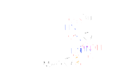 COc1ccc(S(=O)(=O)CC(NC(=O)CN(C(=O)CNC(=O)OC(C)(C)C)c2ccccc2)C(=O)NO)cc1